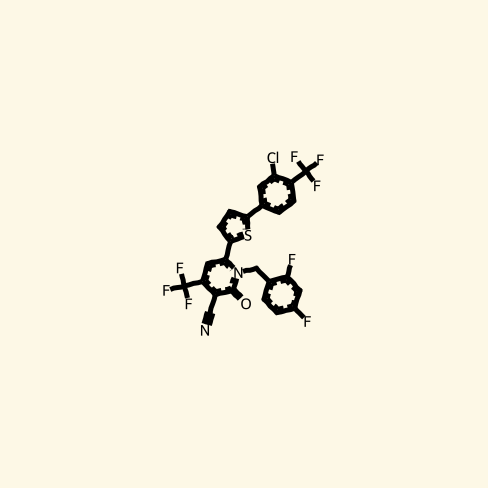 N#Cc1c(C(F)(F)F)cc(-c2ccc(-c3ccc(C(F)(F)F)c(Cl)c3)s2)n(Cc2ccc(F)cc2F)c1=O